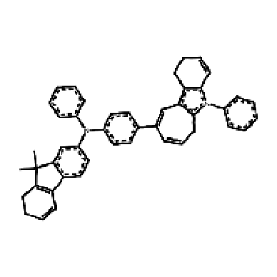 CC1(C)C2=C(C=CCC2)c2ccc(N(c3ccccc3)c3ccc(C4=Cc5c6c(n(-c7ccccc7)c5CC=C4)C=CCC6)cc3)cc21